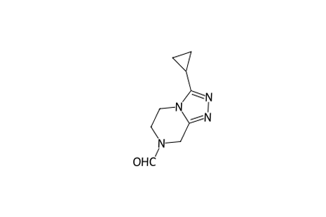 O=CN1CCn2c(nnc2C2CC2)C1